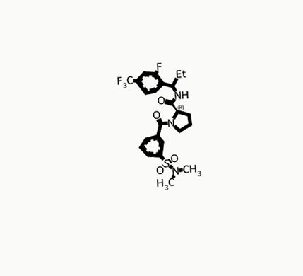 CCC(NC(=O)[C@H]1CCCN1C(=O)c1cccc(S(=O)(=O)N(C)C)c1)c1ccc(C(F)(F)F)cc1F